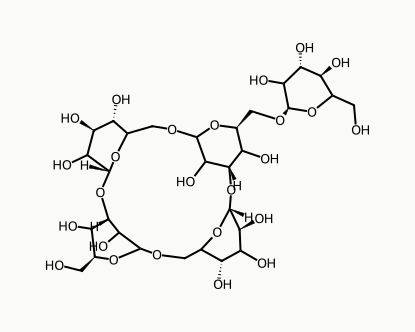 OCC1O[C@@H](OC[C@@H]2OC3OCC4O[C@H](O[C@@H]5C(O)C(OCC6O[C@H](O[C@H](C3O)C2O)[C@@H](O)C(O)[C@@H]6O)O[C@@H](CO)C5O)C(O)[C@@H](O)[C@@H]4O)C(O)[C@H](O)[C@H]1O